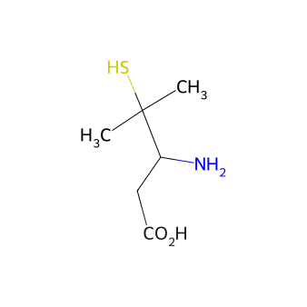 CC(C)(S)C(N)CC(=O)O